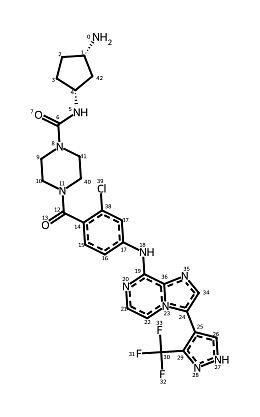 N[C@H]1CC[C@@H](NC(=O)N2CCN(C(=O)c3ccc(Nc4nccn5c(-c6c[nH]nc6C(F)(F)F)cnc45)cc3Cl)CC2)C1